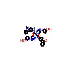 CCn1c2ccccc2c2cc(NC(=O)C(C(C(=O)Nc3ccc4c(c3)-c3ccccc3C4=O)N3CCC(Nc4cccc(O)c4)CC3)N3CCC(Nc4cccc(O)c4)CC3)ccc21